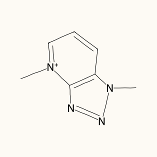 Cn1nnc2c1ccc[n+]2C